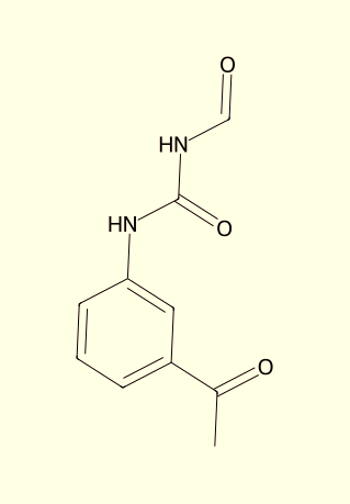 CC(=O)c1cccc(NC(=O)NC=O)c1